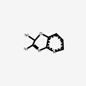 [2H]C1=Nc2ncccc2OC1[2H]